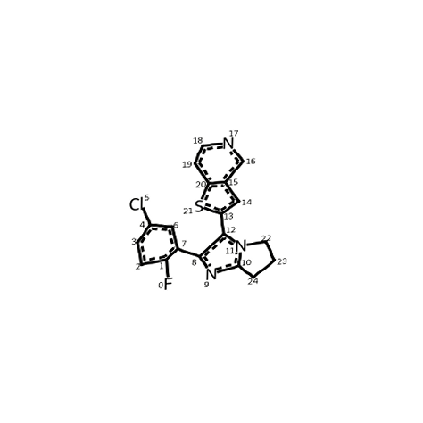 Fc1ccc(Cl)cc1-c1nc2n(c1-c1cc3cnccc3s1)CCC2